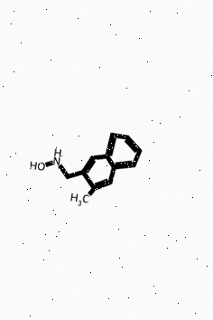 Cc1cc2ccccc2cc1CNO